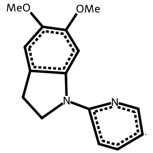 COc1cc2c(cc1OC)N(c1cc[c]cn1)CC2